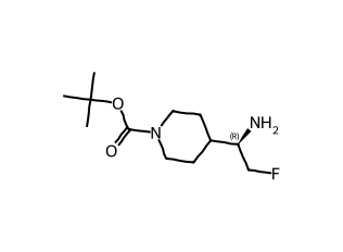 CC(C)(C)OC(=O)N1CCC([C@@H](N)CF)CC1